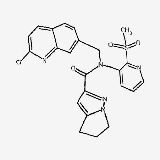 CS(=O)(=O)c1ncccc1N(Cc1ccc2ccc(Cl)nc2c1)C(=O)c1cc2n(n1)CCC2